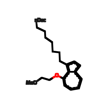 CCCCCCCCCCCCCCCCCc1ccc2ccccc(OCCOC)c1-2